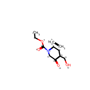 C=C.CCOC(=O)N1CCC(CO)C(=O)C1